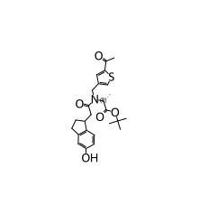 CC(=O)c1cc(CN(C(=O)CC2CCc3cc(O)ccc32)[C@H](C)C(=O)OC(C)(C)C)cs1